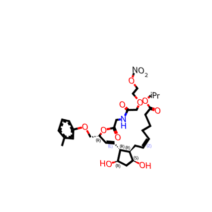 Cc1cccc(OC[C@@H](/C=C/[C@@H]2[C@@H](C/C=C\CCCC(=O)OC(C)C)[C@@H](O)C[C@H]2O)OC(=O)CNC(=O)COCCO[N+](=O)[O-])c1